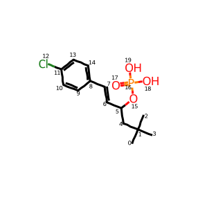 CC(C)(C)CC(C=Cc1ccc(Cl)cc1)OP(=O)(O)O